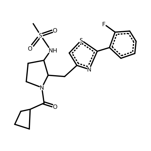 CS(=O)(=O)NC1CCN(C(=O)C2CCC2)C1Cc1csc(-c2ccccc2F)n1